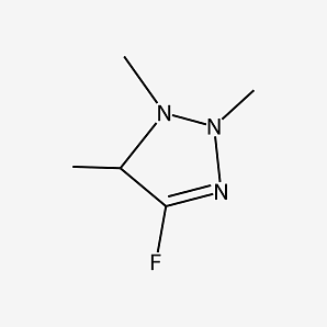 CC1C(F)=NN(C)N1C